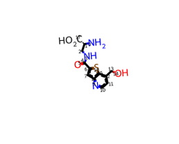 N[C@H](CNC(=O)c1cc2nccc(CO)c2s1)C(=O)O